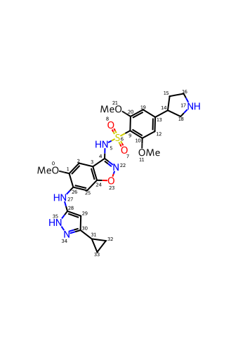 COc1cc2c(NS(=O)(=O)c3c(OC)cc(C4CCNC4)cc3OC)noc2cc1Nc1cc(C2CC2)n[nH]1